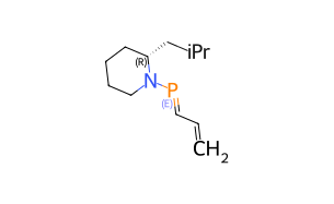 C=C/C=P/N1CCCC[C@@H]1CC(C)C